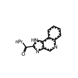 CCCC(=O)c1nc2cnc3ccccc3c2[nH]1